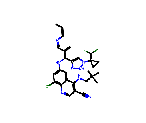 C=C(/C=N\C=C/C)[C@H](Nc1cc(Cl)c2ncc(C#N)c(NCC(C)(C)C)c2c1)C1=CN(C2(C(F)F)CC2)NN1